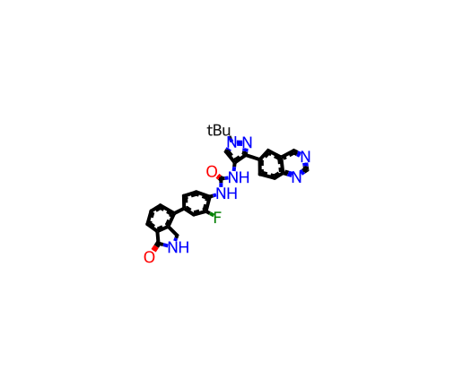 CC(C)(C)n1cc(NC(=O)Nc2ccc(-c3cccc4c3CNC4=O)cc2F)c(-c2ccc3ncncc3c2)n1